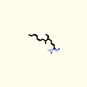 C/C=C(/CC=C/C(=N\C)NC)C(C)C/C=C\C=C/CC